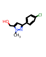 Cn1nc(-c2ccc(Cl)cc2)cc1CO